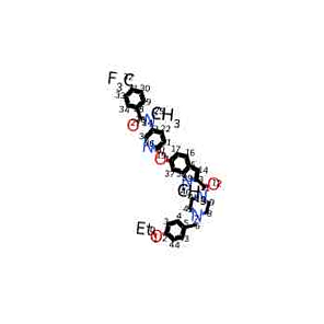 CCOc1ccc(CN2CCN(C(=O)c3cc4ccc(Oc5ccc(N(C)C(=O)c6ccc(C(F)(F)F)cc6)cn5)cc4n3C)CC2)cc1